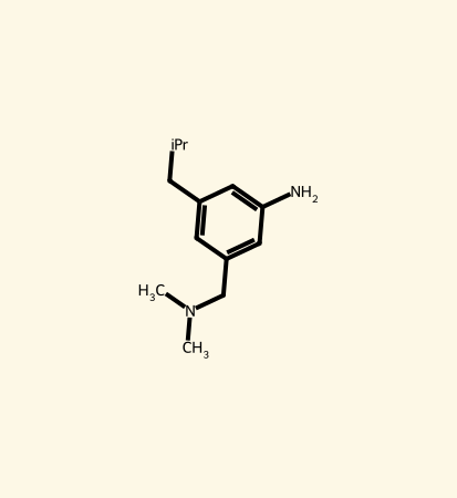 CC(C)Cc1cc(N)cc(CN(C)C)c1